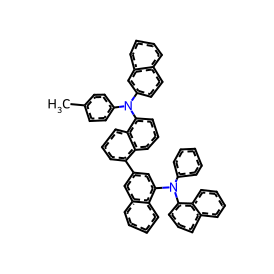 Cc1ccc(N(c2ccc3ccccc3c2)c2cccc3c(-c4cc(N(c5ccccc5)c5cccc6ccccc56)c5ccccc5c4)cccc23)cc1